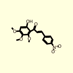 COc1cc(O)c(C(=O)C=Cc2ccc([N+](=O)[O-])cc2)c(OC)c1OC